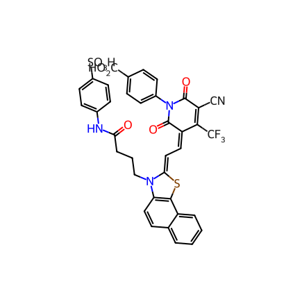 N#CC1=C(C(F)(F)F)/C(=C/C=C2\Sc3c(ccc4ccccc34)N2CCCC(=O)Nc2ccc(S(=O)(=O)O)cc2)C(=O)N(c2ccc(C(=O)O)cc2)C1=O